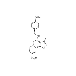 COc1ccc(CNc2nc3ccc(C(=O)O)cc3c3onc(C)c23)cc1